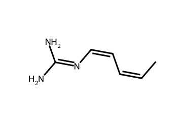 C/C=C\C=C/N=C(N)N